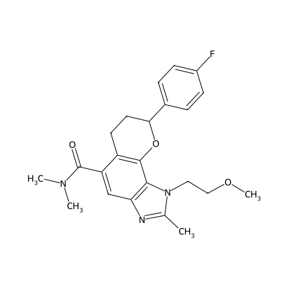 COCCn1c(C)nc2cc(C(=O)N(C)C)c3c(c21)OC(c1ccc(F)cc1)CC3